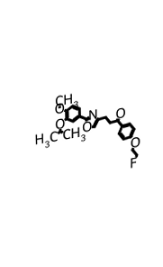 COc1ccc(-c2nc(CCC(=O)c3ccc(OCCF)cc3)co2)cc1OC(C)C